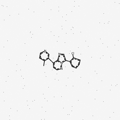 Cc1ccncc1-c1ccnn2c(-c3ccccc3Cl)cnc12